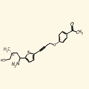 CC(=O)c1ccc(OCC#Cc2ccc(C(N)C[C@@H](C)CO)s2)cc1